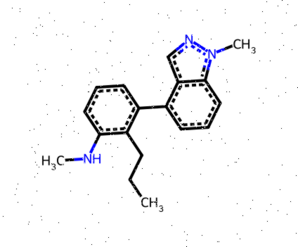 CCCc1c(NC)cccc1-c1cccc2c1cnn2C